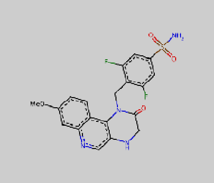 COc1ccc2c3c(cnc2c1)NCC(=O)N3Cc1c(F)cc(S(N)(=O)=O)cc1F